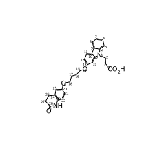 O=C(O)CCn1c2ccccc2c2ccc(OCCCCOc3ccc4c(c3)CCC(=O)N4)cc21